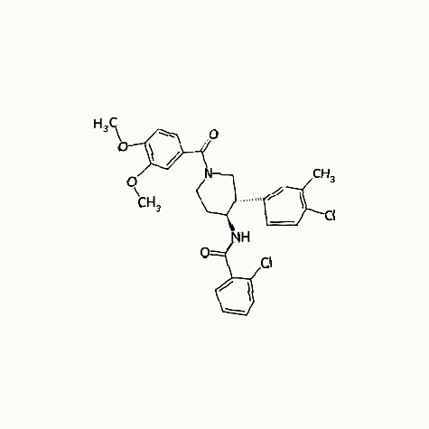 COc1ccc(C(=O)N2CC[C@H](NC(=O)c3ccccc3Cl)[C@@H](c3ccc(Cl)c(C)c3)C2)cc1OC